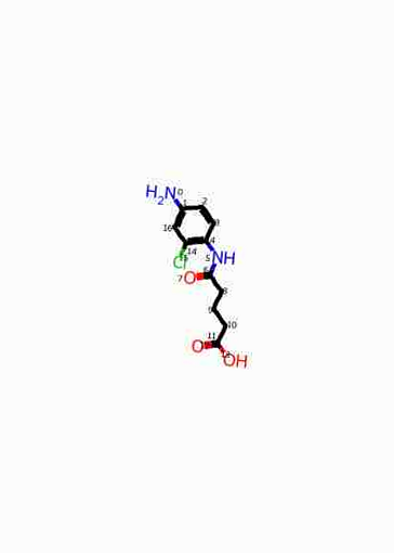 Nc1ccc(NC(=O)CCCC(=O)O)c(Cl)c1